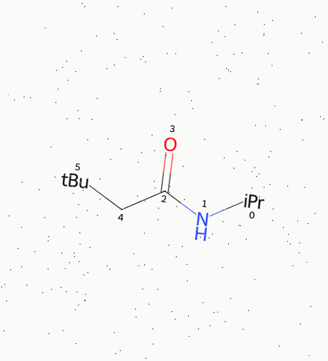 CC(C)NC(=O)CC(C)(C)C